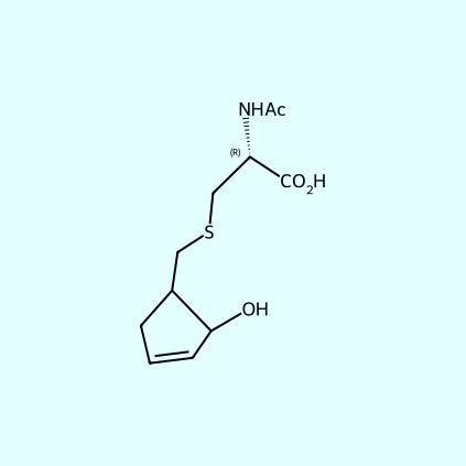 CC(=O)N[C@@H](CSCC1CC=CC1O)C(=O)O